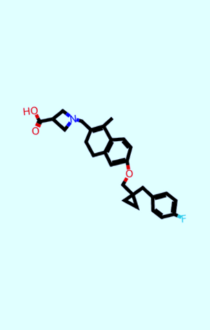 CC1=C(CN2CC(C(=O)O)C2)CCc2cc(OCC3(Cc4ccc(F)cc4)CC3)ccc21